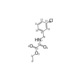 CCOC(=O)C(=O)NCc1cccc(Cl)c1